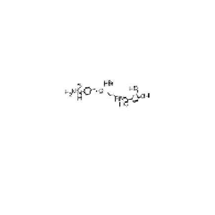 Br.NC(=O)Nc1ccc(CCOCCCCCCNCC(O)c2ccc(O)c(CO)c2)cc1